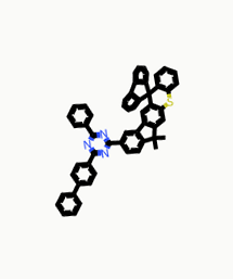 CC1(C)c2ccc(-c3nc(-c4ccccc4)nc(-c4ccc(-c5ccccc5)cc4)n3)cc2-c2cc3c(cc21)Sc1ccccc1C31c2ccccc2-c2ccccc21